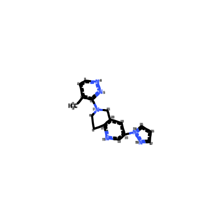 Cc1ccnnc1N1CCc2ncc(-n3cccn3)cc2C1